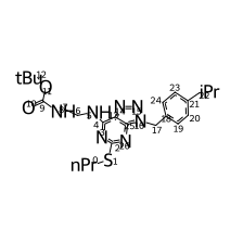 CCCSc1nc(NCCNC(=O)OC(C)(C)C)c2nnn(Cc3ccc(C(C)C)cc3)c2n1